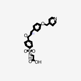 O=C(O)CNS(=O)(=O)c1ccc(C(=O)/C=C/c2ccc(OCc3ccncc3)cc2)cc1